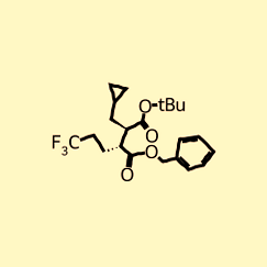 CC(C)(C)OC(=O)[C@H](CC1CC1)[C@@H](CCC(F)(F)F)C(=O)OCc1ccccc1